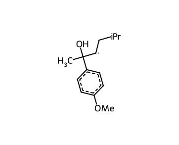 COc1ccc(C(C)(O)[CH]CC(C)C)cc1